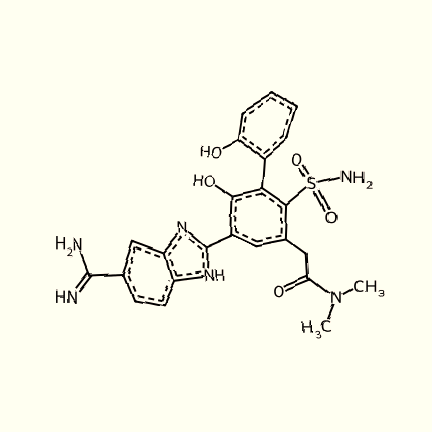 CN(C)C(=O)Cc1cc(-c2nc3cc(C(=N)N)ccc3[nH]2)c(O)c(-c2ccccc2O)c1S(N)(=O)=O